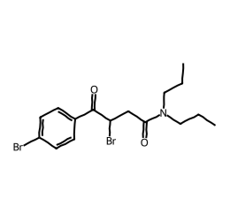 CCCN(CCC)C(=O)CC(Br)C(=O)c1ccc(Br)cc1